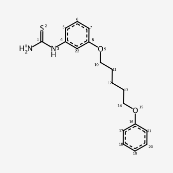 NC(=S)Nc1cccc(OCCCCCOc2ccccc2)c1